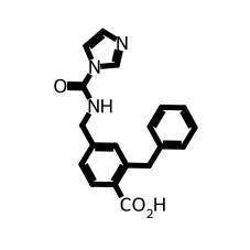 O=C(O)c1ccc(CNC(=O)n2ccnc2)cc1Cc1ccccc1